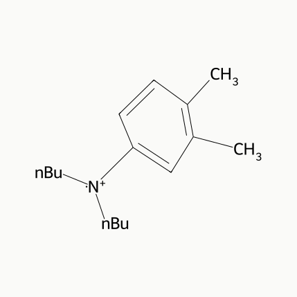 CCCC[N+](CCCC)c1ccc(C)c(C)c1